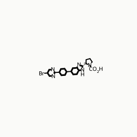 O=C(O)N1CCC[C@H]1c1nc2cc(-c3ccc(-c4ncc(Br)cn4)cc3)ccc2[nH]1